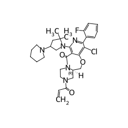 C=CC(=O)N1CCN2C(=O)c3c(N4CC(N5CCCCC5)CC4(C)C)nc(-c4ccccc4F)c(Cl)c3OC[C@H]2C1